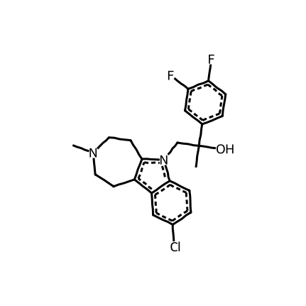 CN1CCc2c(n(CC(C)(O)c3ccc(F)c(F)c3)c3ccc(Cl)cc23)CC1